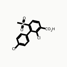 CS(=O)(=O)c1ccc(C(=O)O)c(Cl)c1-c1ccc(Cl)cc1